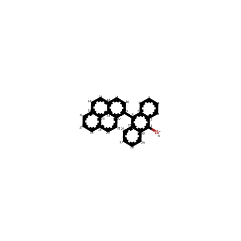 Brc1c2ccccc2c(-c2ccc3ccc4cccc5ccc2c3c45)c2ccccc12